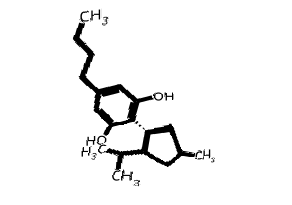 CCCCc1cc(O)c([C@@H]2CC(C)CC2C(C)C)c(O)c1